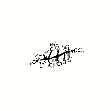 O=S(=O)([O-])C(Cl)(Cl)C(Cl)(Cl)C(Cl)(Cl)C(Cl)(Cl)C(Cl)(Cl)C(Cl)(Cl)Cl.[Na+]